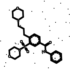 O=C(Nc1ccccc1)c1ccc(CCCN2CCOCC2)c(S(=O)(=O)N2CCOCC2)c1